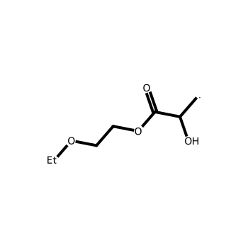 [CH2]C(O)C(=O)OCCOCC